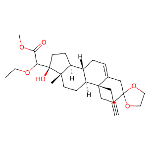 C#CC[C@]12CCC3(CC1=CC[C@@H]1[C@@H]2CC[C@@]2(C)[C@H]1CC[C@@]2(O)C(OCC)C(=O)OC)OCCO3